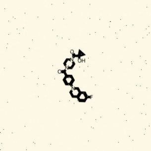 O=C(c1ccc(N2CCc3ccc(F)cc3C2)cc1)N1CCN(C(=O)C2(O)CC2)CC1